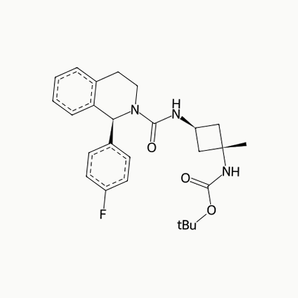 CC(C)(C)OC(=O)N[C@]1(C)C[C@@H](NC(=O)N2CCc3ccccc3[C@@H]2c2ccc(F)cc2)C1